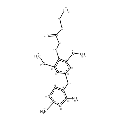 CCOC(=O)CSc1c(OC)cc(Cc2cnc(N)nc2N)cc1OC